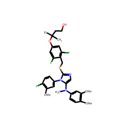 CCC(C)(CCO)Oc1cc(F)c(CSc2ncc(N(C)c3ccc(OC)c(OC)c3)n2-c2ccc(F)c(OC)c2)c(F)c1